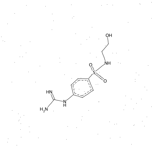 N=C(N)Nc1ccc(S(=O)(=O)NCCO)cc1